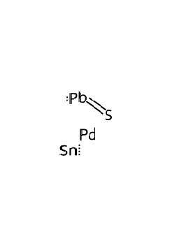 [Pd].[S]=[Pb].[Sn]